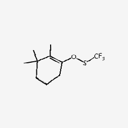 CC1=C(OSC(F)(F)F)CCCC1(C)C